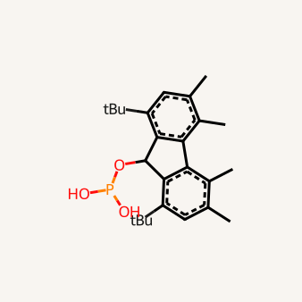 Cc1cc(C(C)(C)C)c2c(c1C)-c1c(C)c(C)cc(C(C)(C)C)c1C2OP(O)O